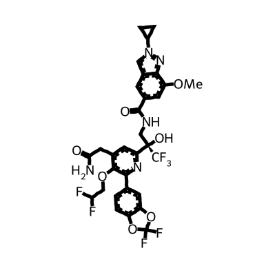 COc1cc(C(=O)NC[C@](O)(c2cc(CC(N)=O)c(OCC(F)F)c(-c3ccc4c(c3)OC(F)(F)O4)n2)C(F)(F)F)cc2cn(C3CC3)nc12